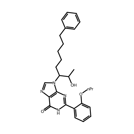 CCCOc1ccccc1-c1nc2c(ncn2C(CCCCCc2ccccc2)C(C)O)c(=O)[nH]1